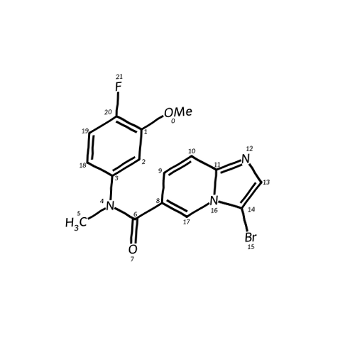 COc1cc(N(C)C(=O)c2ccc3ncc(Br)n3c2)ccc1F